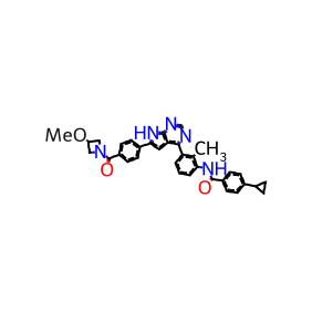 COC1CN(C(=O)c2ccc(-c3cc4c(-c5cccc(NC(=O)c6ccc(C7CC7)cc6)c5C)ncnc4[nH]3)cc2)C1